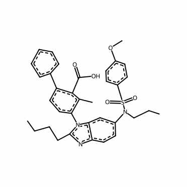 CCCCc1nc2ccc(N(CCC)S(=O)(=O)c3ccc(OC)cc3)cc2n1-c1ccc(-c2ccccc2)c(C(=O)O)c1C